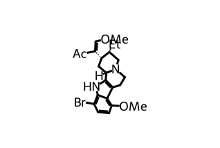 CC[C@@H]1CN2CCc3c([nH]c4c(Br)ccc(OC)c34)[C@@H]2C[C@@H]1/C(=C\OC)C(C)=O